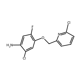 Nc1cc(F)c(OCc2cccc(Cl)n2)cc1Cl